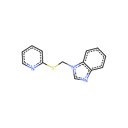 c1ccc(SCn2cnc3ccccc32)nc1